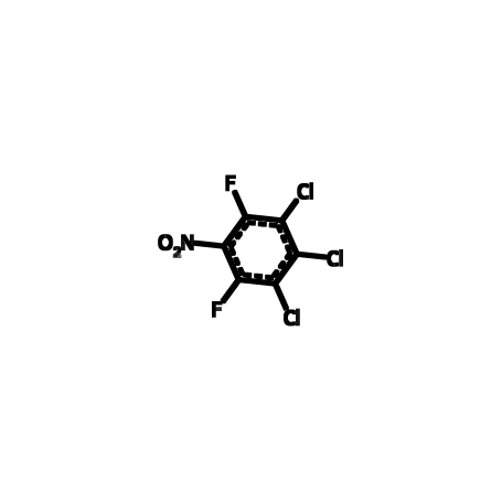 O=[N+]([O-])c1c(F)c(Cl)c(Cl)c(Cl)c1F